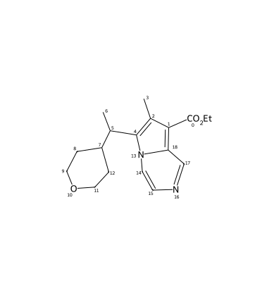 CCOC(=O)c1c(C)c(C(C)C2CCOCC2)n2ccncc12